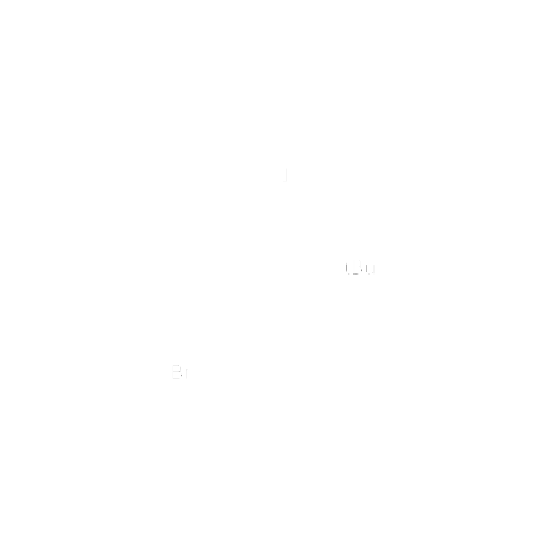 CC(C)(C)c1cc(Br)ccc1I